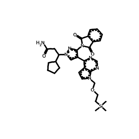 C[Si](C)(C)CCOCn1ccc2c(-c3cn(C(CC(N)=O)C4CCCC4)nc3N3C(=O)c4ccccc4C3=O)ncnc21